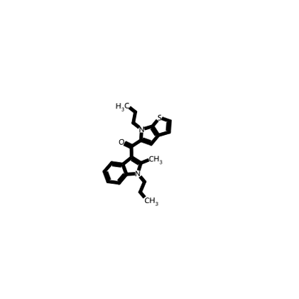 CCCn1c(C)c(C(=O)c2cc3ccsc3n2CCC)c2ccccc21